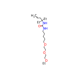 C=CCC(CC)(CC)NC(=O)NCCCCCOCCOCCOCC